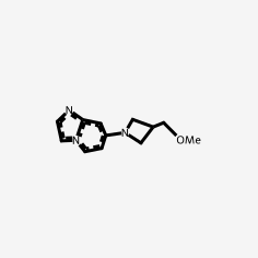 COCC1CN(c2ccn3ccnc3c2)C1